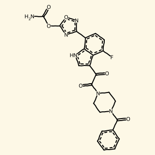 NC(=O)Oc1nc(-c2ccc(F)c3c(C(=O)C(=O)N4CCN(C(=O)c5ccccc5)CC4)c[nH]c23)no1